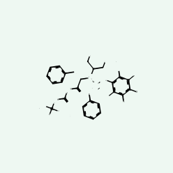 CCC(CC)N([C@@H](Cc1ccccc1)C(=O)OC(=O)OC(C)(C)C)[P@](=O)(Oc1ccccc1)Oc1c(F)c(F)c(F)c(F)c1F